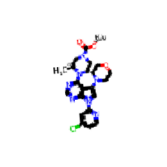 C[C@H]1CN(C(=O)OC(C)(C)C)CCN1c1ncnc2c1c(N1CCOCC1)cn2-c1cc(Cl)ccn1